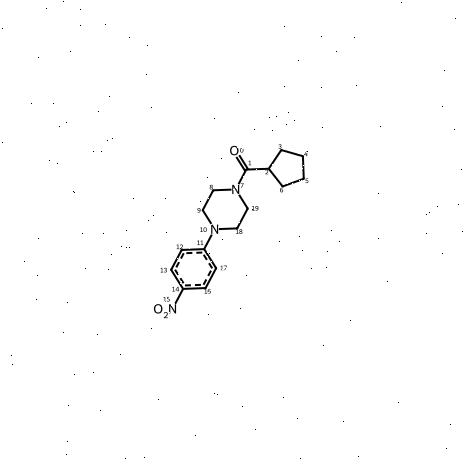 O=C(C1CCCC1)N1CCN(c2ccc([N+](=O)[O-])cc2)CC1